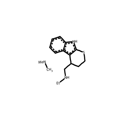 CCNCC1CCSc2[nH]c3ccccc3c21.CNC